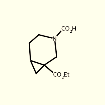 CCOC(=O)C12CC1CCN(C(=O)O)C2